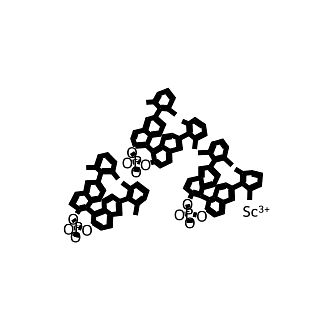 Cc1cccc(C)c1-c1ccc2c3c(ccc2c1)OP(=O)([O-])Oc1ccc2cc(-c4c(C)cccc4C)ccc2c1-3.Cc1cccc(C)c1-c1ccc2c3c(ccc2c1)OP(=O)([O-])Oc1ccc2cc(-c4c(C)cccc4C)ccc2c1-3.Cc1cccc(C)c1-c1ccc2c3c(ccc2c1)OP(=O)([O-])Oc1ccc2cc(-c4c(C)cccc4C)ccc2c1-3.[Sc+3]